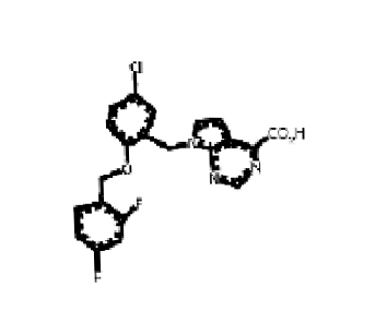 O=C(O)c1ncnc2c1ccn2Cc1cc(Cl)ccc1OCc1ccc(F)cc1F